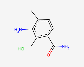 Cc1ccc(C(N)=O)c(C)c1N.Cl